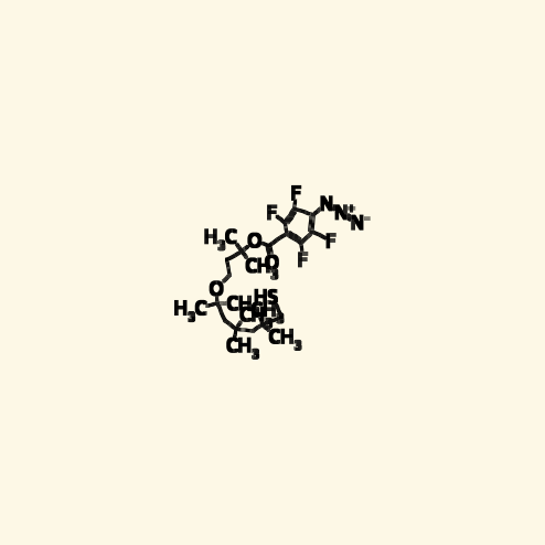 CC(C)(CS)CC(C)(C)CC(C)(C)OCCC(C)(C)OC(=O)c1c(F)c(F)c(N=[N+]=[N-])c(F)c1F